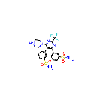 NS(=O)(=O)c1cccc(-c2nc(C(F)(F)F)nc(N3CCNCC3)c2-c2cccc(S(N)(=O)=O)c2)c1